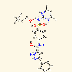 Cc1cc(C)nc(N(COCC[Si](C)(C)C)S(=O)(=O)c2ccc(NC(=O)c3cc(-c4ccccc4)n[nH]3)cc2)n1